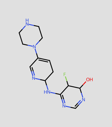 OC1N=CN=C(NC2CC=C(N3CCNCC3)C=N2)C1F